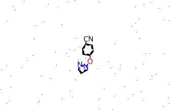 N#Cc1ccc(On2cccn2)cc1